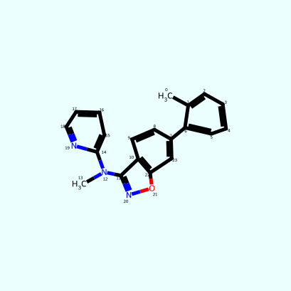 Cc1ccccc1-c1ccc2c(N(C)c3ccccn3)noc2c1